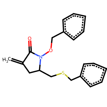 C=C1CC(CSCc2ccccc2)N(OCc2ccccc2)C1=O